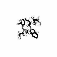 CC[C@H](C)[C@H](NC(=O)[C@@H](F)Cl)C(=O)N1C[C@@H]2CCC[C@@H]2[C@H]1C(=O)NN(C[C@H]1CCCNC1=O)C(=O)[C@@H](F)Cl